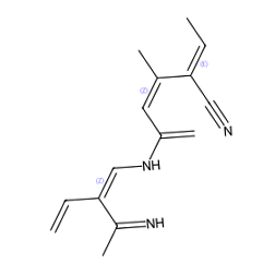 C=C/C(=C/NC(=C)/C=C(C)\C(C#N)=C/C)C(C)=N